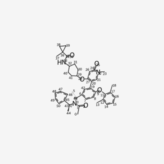 CC(=O)N([C@H](C)c1ccc(Oc2c(C)cccc2C)c(-c2cn(C)c(=O)cc2OC2CCC(NC(=O)C3(C)CC3)CC2)c1)[C@@H](C)c1ccccc1